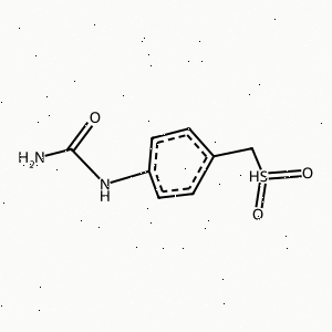 NC(=O)Nc1ccc(C[SH](=O)=O)cc1